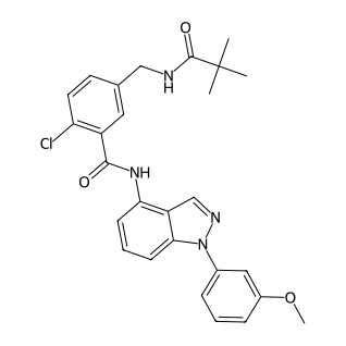 COc1cccc(-n2ncc3c(NC(=O)c4cc(CNC(=O)C(C)(C)C)ccc4Cl)cccc32)c1